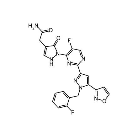 NC(=O)Cc1c[nH]n(-c2nc(-c3cc(-c4ccon4)n(Cc4ccccc4F)n3)ncc2F)c1=O